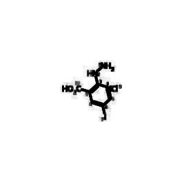 Cl.NNc1ccc(I)cc1C(=O)O